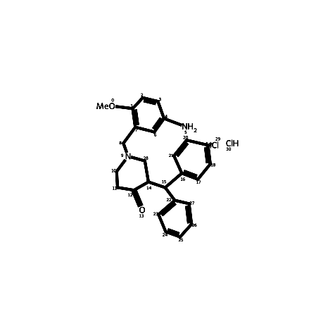 COc1ccc(N)cc1CN1CCC(=O)C(C(c2ccccc2)c2ccccc2)C1.Cl.Cl